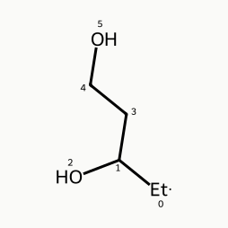 C[CH]C(O)CCO